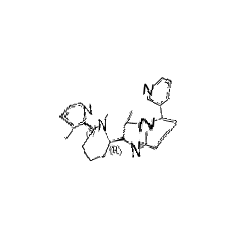 Cc1cccnc1[C@@H]1CCC[C@H](C2N=C3C=CC=C(c4cccnc4)N3C2C)N1C